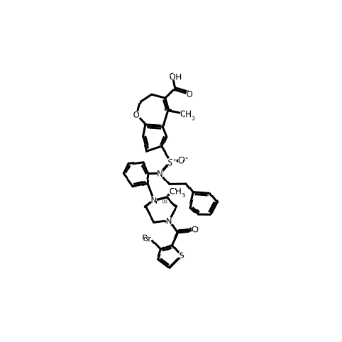 CC1=C(C(=O)O)CCOc2ccc([S+]([O-])N(CCc3ccccc3)c3ccccc3N3CCN(C(=O)c4sccc4Br)C[C@@H]3C)cc21